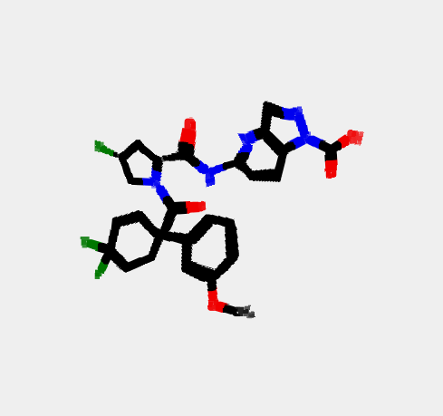 COc1cccc(C2(C(=O)N3C[C@H](F)C[C@@H]3C(=O)Nc3ccc4c(cnn4C(=O)O)n3)CCC(F)(F)CC2)c1